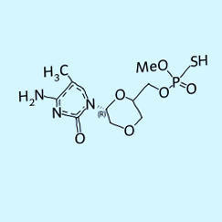 COP(=O)(S)OCC1COC[C@H](n2cc(C)c(N)nc2=O)O1